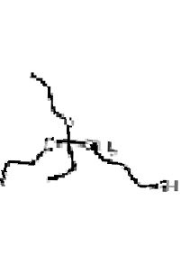 CCCOC(CC)(OCCC)[SiH2]CCCS